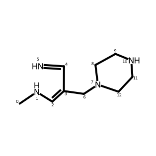 CN/C=C(\C=N)CN1CCNCC1